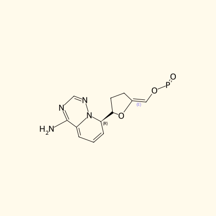 NC1=NC=NN2C1=CC=C[C@@H]2C1CC/C(=C\OP=O)O1